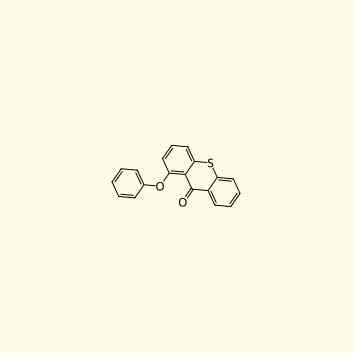 O=c1c2ccccc2sc2cccc(Oc3ccccc3)c12